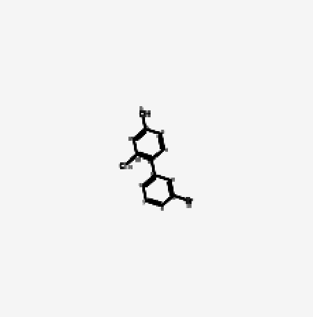 Oc1ccc(-c2cccc(Br)c2)c(Cl)c1